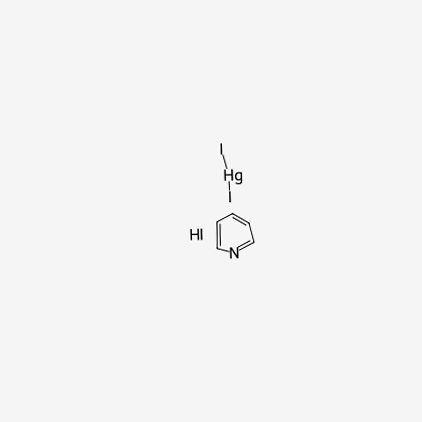 I.[I][Hg][I].c1ccncc1